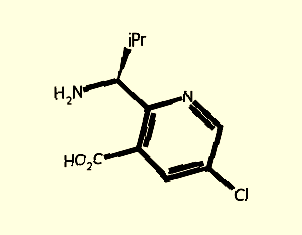 CC(C)[C@H](N)c1ncc(Cl)cc1C(=O)O